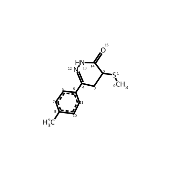 CSC1CC(c2ccc(C)cc2)=NNC1=O